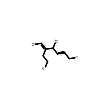 Cl/C=C(\CCCl)C(Cl)/C=C/CCl